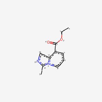 CCOC(=O)c1cccn2c(C)ncc12